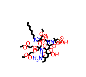 CCCCCCCC[N+](C)(C)CCOC(=O)C(C)CC(CC(CC(CC(CC)C(N)=O)C(=O)O)C(=O)NC(COCCC(=O)OCC)(COCCC(=O)OCC)COCCC(=O)OCC)C(=O)NC(C)(C)CS(=O)(=O)O